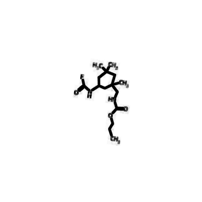 CCCOC(=O)NCC1(C)CC(NC(=O)F)CC(C)(C)C1